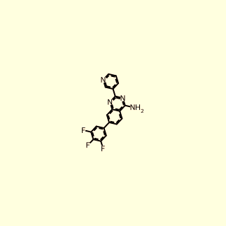 Nc1nc(-c2cccnc2)nc2cc(-c3cc(F)c(F)c(F)c3)ccc12